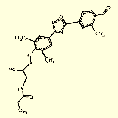 Cc1cc(-c2nc(-c3cc(C)c(OCC(O)CNC(=O)CO)c(C)c3)no2)ccc1C=O